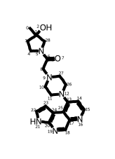 CC1(O)CCN(C(=O)CN2CCN(c3ccnc4cnc5[nH]ccc5c34)CC2)C1